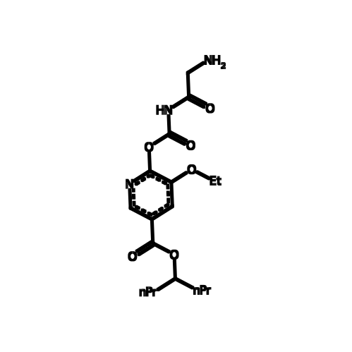 CCCC(CCC)OC(=O)c1cnc(OC(=O)NC(=O)CN)c(OCC)c1